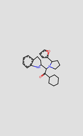 O=C(C1CCCCC1)C(C1CCc2ccccc2N1)N1CCCC1c1ccco1